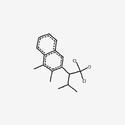 Cc1c(C(C(C)C)C(Cl)(Cl)Cl)cc2ccccc2c1C